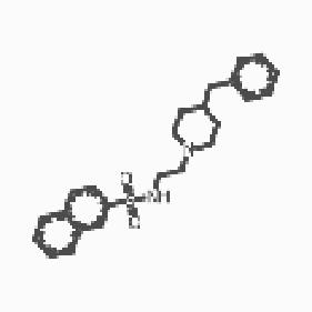 O=S(=O)(NCCN1CCC(Cc2ccccc2)CC1)c1ccc2ccccc2c1